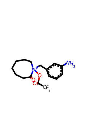 Nc1cccc(C[N+]2(OC(=O)C(F)(F)F)CCCCCCC2=O)c1